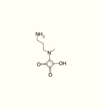 CN(CCCN)c1c(O)c(=O)c1=O